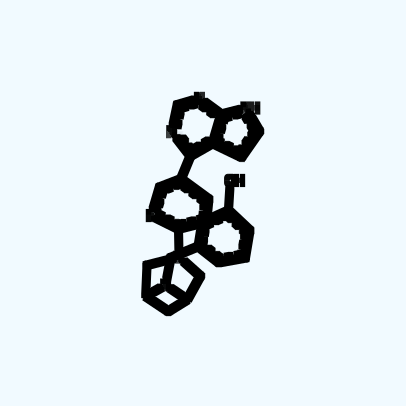 Oc1cccc(CN2C3CC2CN(c2ccc(-c4ncnc5[nH]ccc45)cn2)C3)c1